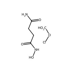 NC(=O)CCC(=O)NO.O=C(O)OCl